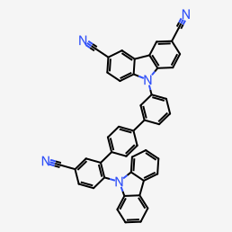 N#Cc1ccc(-n2c3ccccc3c3ccccc32)c(-c2ccc(-c3cccc(-n4c5ccc(C#N)cc5c5cc(C#N)ccc54)c3)cc2)c1